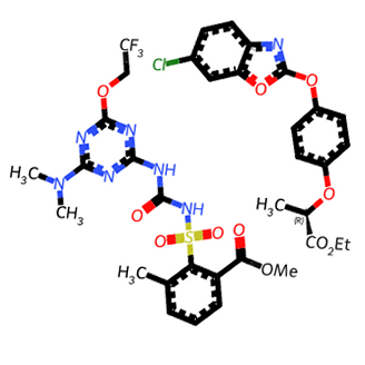 CCOC(=O)[C@@H](C)Oc1ccc(Oc2nc3ccc(Cl)cc3o2)cc1.COC(=O)c1cccc(C)c1S(=O)(=O)NC(=O)Nc1nc(OCC(F)(F)F)nc(N(C)C)n1